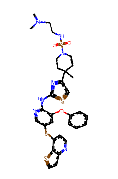 CN(C)CCNS(=O)(=O)N1CCC(C)(c2csc(Nc3ncc(Sc4ccnc5ccsc45)cc3Oc3ccccc3)n2)CC1